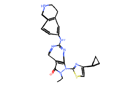 CCn1c(=O)c2cnc(Nc3ccc4c(c3)CCNC4)nc2n1-c1nc(C2CC2)cs1